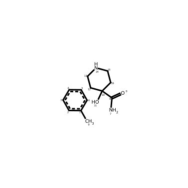 Cc1ccccc1.NC(=O)C1(O)CCNCC1